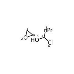 C1CO1.CCCC(O)Cl